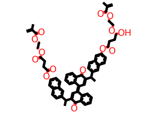 C=C(C)C(=O)OCCOC(=O)CCC(=O)Oc1ccc2cc(C(C)C3=C/C(=C4/C=C(C(C)c5ccc6cc(OC(=O)CCC(O)OCCOC(=O)C(=C)C)ccc6c5)C(=O)c5ccccc54)c4ccccc4C3=O)ccc2c1